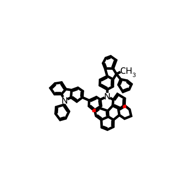 CC1(c2ccccc2)c2ccccc2-c2ccc(N(c3cccc(-c4ccc5c6ccccc6n(-c6ccccc6)c5c4)c3)c3ccccc3-c3cccc4cccc(C5CCCCC5)c34)cc21